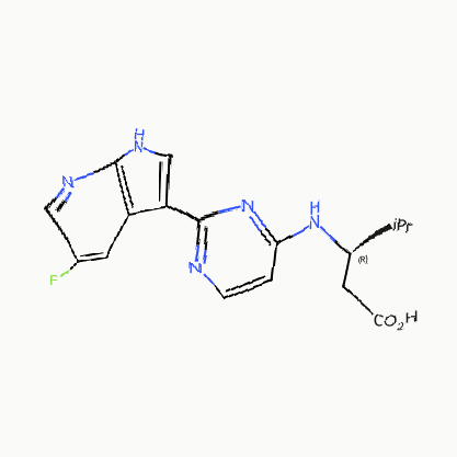 CC(C)[C@@H](CC(=O)O)Nc1ccnc(-c2c[nH]c3ncc(F)cc23)n1